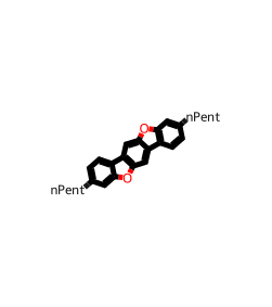 CCCCCc1ccc2c(c1)oc1cc3c(cc12)oc1cc(CCCCC)ccc13